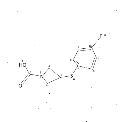 O=C(O)N1CC(Sc2ccc(F)cc2)C1